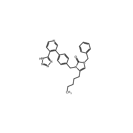 CCCCCc1cn(Cc2ccccc2)c(=O)n1Cc1ccc(-c2cnccc2-c2nnn[nH]2)cc1